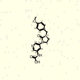 COc1ccc(CN2CCN(c3cncc(NC(=O)O)c3)C2=O)cc1